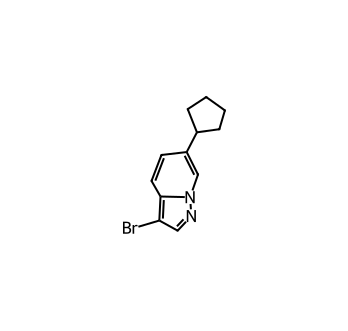 Brc1cnn2cc(C3CCCC3)ccc12